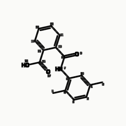 Cc1ccc(C)c(NC(=O)c2ccccc2C(=O)O)c1